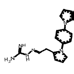 N=C(N)N/N=C/Cc1cccn1-c1ccc(-n2cccc2)cc1